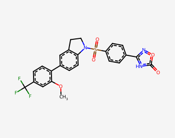 COc1cc(C(F)(F)F)ccc1-c1ccc2c(c1)CCN2S(=O)(=O)c1ccc(-c2noc(=O)[nH]2)cc1